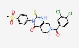 C[C@@H]1Cc2c([nH]c(=S)n(-c3ccc(S(C)(=O)=O)cc3)c2=O)CN1C(=O)c1ccc(Cl)c(Cl)c1